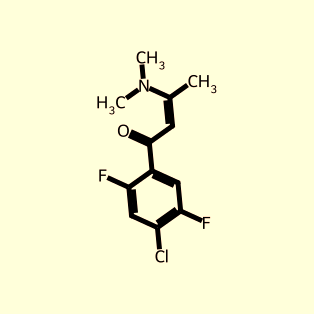 C/C(=C/C(=O)c1cc(F)c(Cl)cc1F)N(C)C